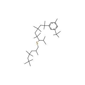 Cc1cc(C(C)(C)C)cc(C(C)(C)CC(C)(C)CC(C)(C)C(SCC(C)CC(C)(C)CC(C)(C)C)C(C)C)c1